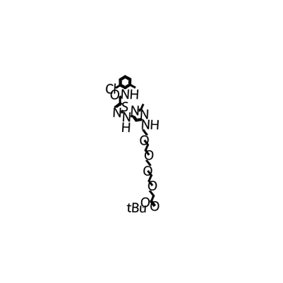 Cc1nc(NCCOCCOCCOCCOCCC(=O)OC(C)(C)C)cc(Nc2ncc(C(=O)Nc3c(C)cccc3Cl)s2)n1